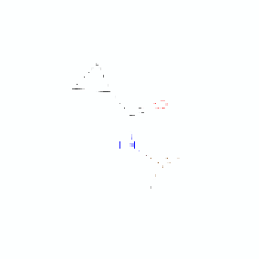 CS(=S)NC(=O)C1CC1